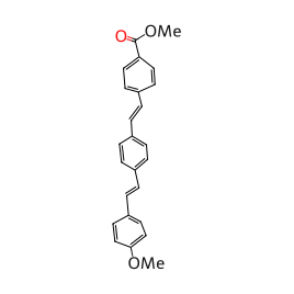 COC(=O)c1ccc(/C=C/c2ccc(/C=C/c3ccc(OC)cc3)cc2)cc1